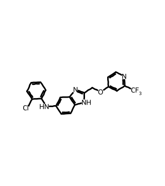 FC(F)(F)c1cc(OCc2nc3cc(Nc4ccccc4Cl)ccc3[nH]2)ccn1